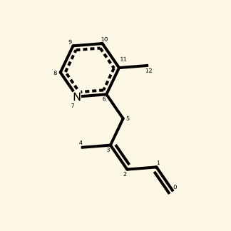 C=C/C=C(/C)Cc1ncccc1C